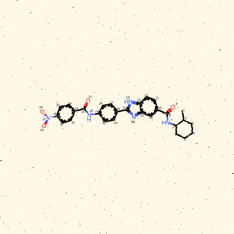 CC1CCCCC1NC(=O)c1ccc2[nH]c(-c3ccc(NC(=O)c4ccc([N+](=O)[O-])cc4)cc3)nc2c1